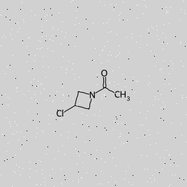 CC(=O)N1CC(Cl)C1